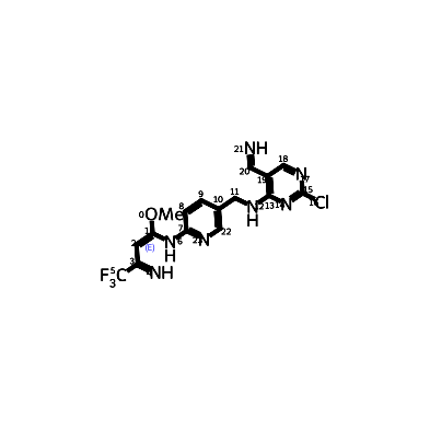 CO/C(=C/C(=N)C(F)(F)F)Nc1ccc(CNc2nc(Cl)ncc2C=N)cn1